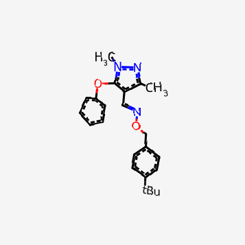 Cc1nn(C)c(Oc2ccccc2)c1C=NOCc1ccc(C(C)(C)C)cc1